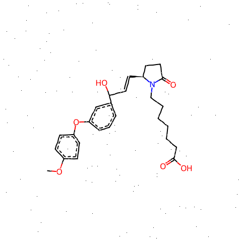 COc1ccc(Oc2cccc(C(O)C=C[C@H]3CCC(=O)N3CCCCCCC(=O)O)c2)cc1